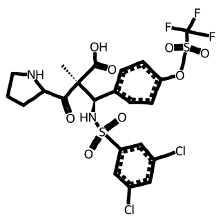 C[C@@](C(=O)O)(C(=O)C1CCCN1)[C@H](NS(=O)(=O)c1cc(Cl)cc(Cl)c1)c1ccc(OS(=O)(=O)C(F)(F)F)cc1